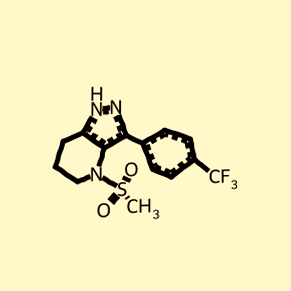 CS(=O)(=O)N1CCCc2[nH]nc(-c3ccc(C(F)(F)F)cc3)c21